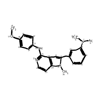 CC(=O)N(C)c1cccc(-c2cc3c(Nc4ccc(OC(F)(F)F)cc4)nccc3n2C)c1